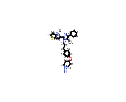 CCc1c(-c2ccccc2)nc(-c2cc3sccc3n2C)n1CCCc1ccc(OC2CCNCC2)cc1